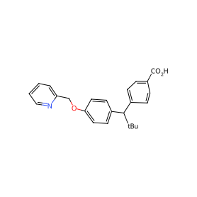 CC(C)(C)C(c1ccc(OCc2ccccn2)cc1)c1ccc(C(=O)O)cc1